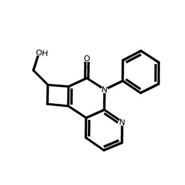 O=c1c2c(c3cccnc3n1-c1ccccc1)CC2CO